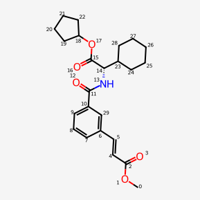 COC(=O)/C=C/c1cccc(C(=O)N[C@H](C(=O)OC2CCCC2)C2CCCCC2)c1